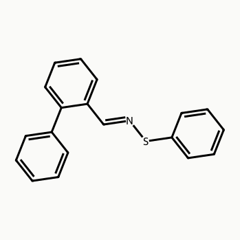 C(=NSc1ccccc1)c1ccccc1-c1ccccc1